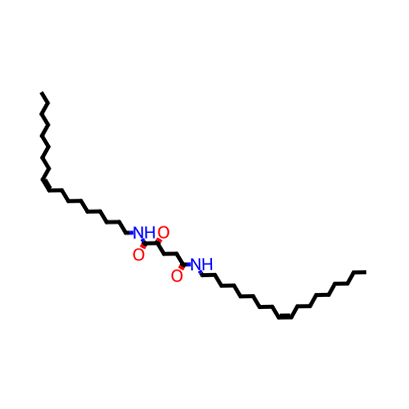 CCCCCCCC/C=C\CCCCCCCCNC(=O)CCC(=O)C(=O)NCCCCCCCC/C=C\CCCCCCCC